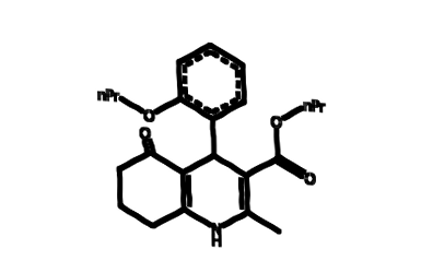 CCCOC(=O)C1=C(C)NC2=C(C(=O)CCC2)C1c1ccccc1OCCC